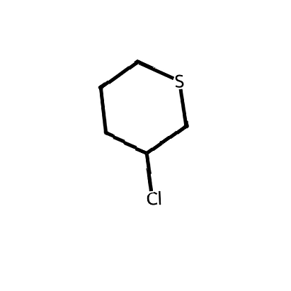 ClC1CCCSC1